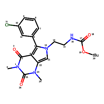 Cn1c(=O)c2c(-c3cccc(Cl)c3)n(CCNC(=O)OC(C)(C)C)cc2n(C)c1=O